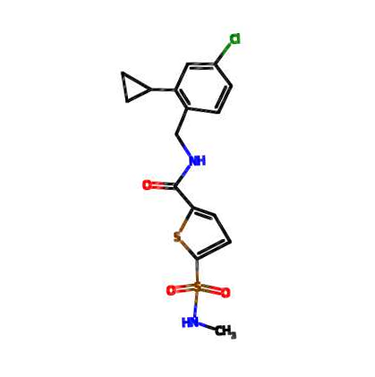 CNS(=O)(=O)c1ccc(C(=O)NCc2ccc(Cl)cc2C2CC2)s1